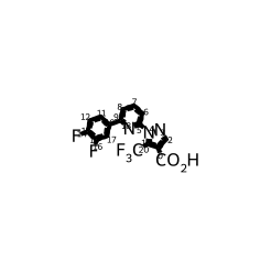 O=C(O)c1cnn(-c2cccc(-c3ccc(F)c(F)c3)n2)c1C(F)(F)F